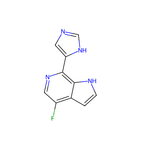 Fc1cnc(-c2cnc[nH]2)c2[nH]ccc12